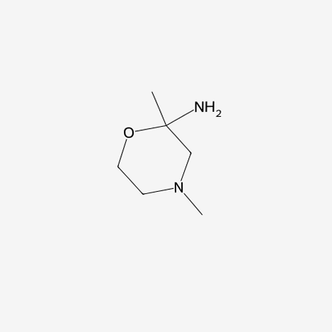 CN1CCOC(C)(N)C1